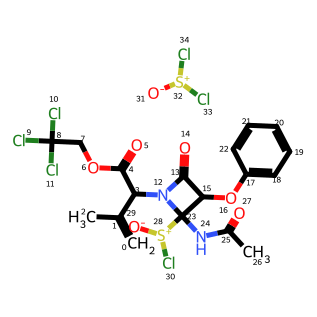 C=C(C)C(C(=O)OCC(Cl)(Cl)Cl)N1C(=O)C(Oc2ccccc2)C1(NC(C)=O)[S+]([O-])Cl.[O-][S+](Cl)Cl